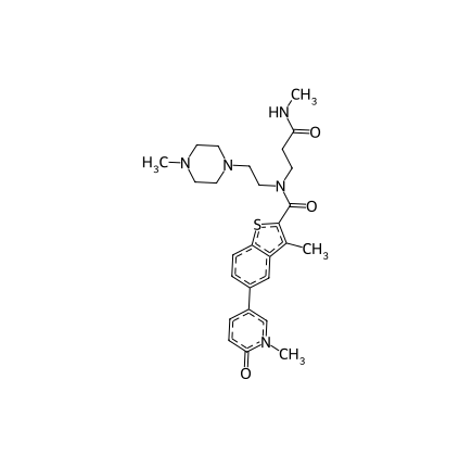 CNC(=O)CCN(CCN1CCN(C)CC1)C(=O)c1sc2ccc(-c3ccc(=O)n(C)c3)cc2c1C